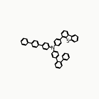 c1ccc(-c2ccc(-c3ccc(N(c4ccc(-c5ccccc5-c5ccccc5)cc4)c4ccc(-c5cccc6c5sc5ccccc56)cc4)cc3)cc2)cc1